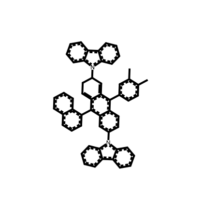 Cc1ccc(-c2c3c(c(-c4cccc5ccccc45)c4cc(-n5c6ccccc6c6ccccc65)ccc24)=CCC(n2c4ccccc4c4ccccc42)C=3)cc1C